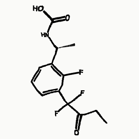 CCC(=O)C(F)(F)c1cccc([C@@H](C)NC(=O)O)c1F